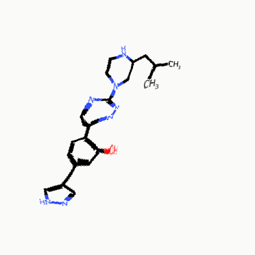 CC(C)CC1CN(c2ncc(-c3ccc(-c4cn[nH]c4)cc3O)nn2)CCN1